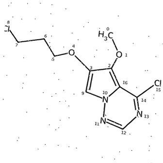 COc1c(OCCCCl)cn2ncnc(Cl)c12